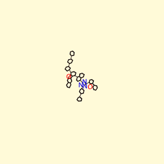 c1ccc(-c2ccc(-c3cccc(-c4ccc(-c5ccc(-c6nc(-c7ccc(-c8ccccc8)cc7)nc(-c7cccc8c7oc7ccccc78)n6)c6ccccc56)c5c4oc4cc6ccccc6cc45)c3)cc2)cc1